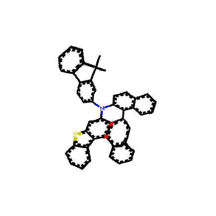 CC1(C)c2ccccc2-c2ccc(N(c3ccc4c(c3)sc3ccccc34)c3ccc4ccccc4c3-c3ccc4ccccc4c3)cc21